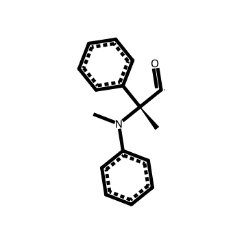 CN(c1ccccc1)[C@@](C)([C]=O)c1ccccc1